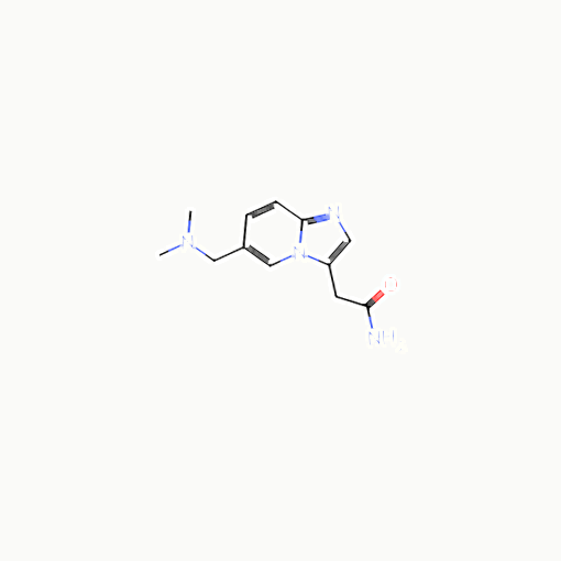 CN(C)Cc1ccc2ncc(CC(N)=O)n2c1